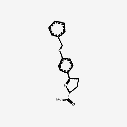 COC(=O)[C@H]1CCC(c2ccc(OCc3ccccc3)cc2)=N1